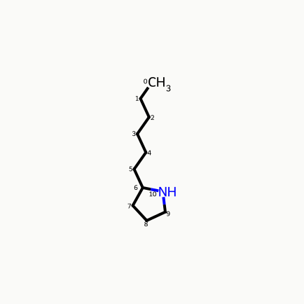 CCCCCCC1CCCN1